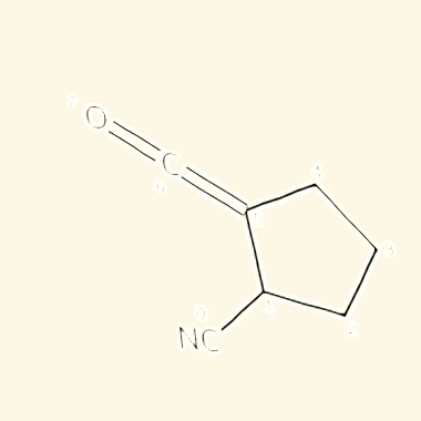 N#CC1CCCC1=C=O